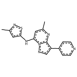 Cc1cc(Nc2cc(C)nc3c(-c4ccncc4)cnn23)sn1